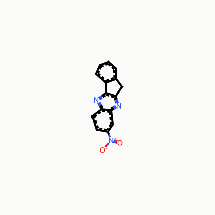 O=[N+]([O-])c1ccc2nc3c(nc2c1)Cc1ccccc1-3